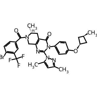 Cc1cc(C)n(-c2nc3c(c(=O)n2-c2ccc(O[C@H]4C[C@@H](C)C4)cc2)C[C@@H](C)N(C(=O)c2ccc(Br)c(C(F)(F)F)c2)C3)n1